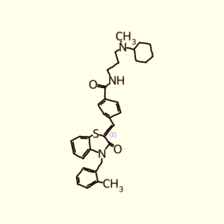 Cc1ccccc1CN1C(=O)/C(=C/c2ccc(C(=O)NCCCN(C)C3CCCCC3)cc2)Sc2ccccc21